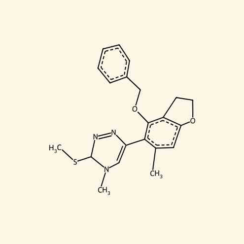 CSC1N=NC(c2c(C)cc3c(c2OCc2ccccc2)CCO3)=CN1C